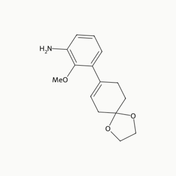 COc1c(N)cccc1C1=CCC2(CC1)OCCO2